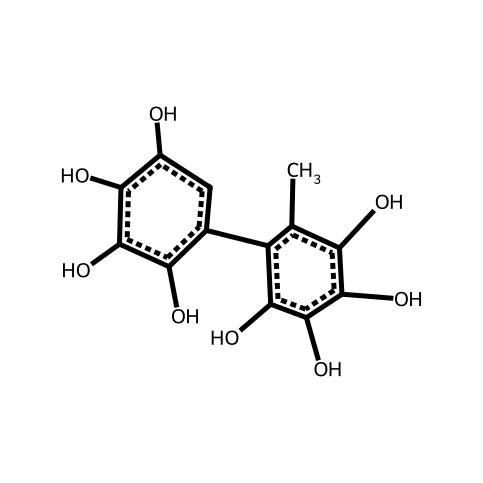 Cc1c(O)c(O)c(O)c(O)c1-c1cc(O)c(O)c(O)c1O